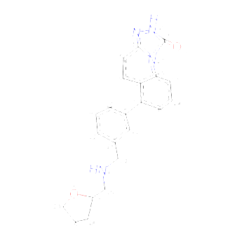 O=c1[nH]nc2ccc3c(-c4cccc(CNCC5CCCO5)c4)cccc3n12